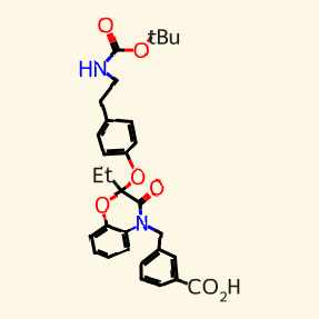 CCC1(Oc2ccc(CCNC(=O)OC(C)(C)C)cc2)Oc2ccccc2N(Cc2cccc(C(=O)O)c2)C1=O